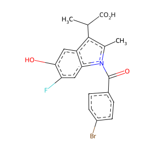 Cc1c(C(C)C(=O)O)c2cc(O)c(F)cc2n1C(=O)c1ccc(Br)cc1